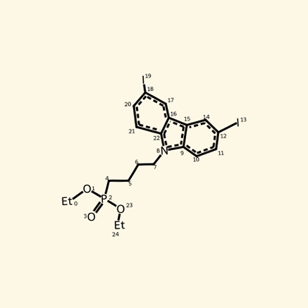 CCOP(=O)(CCCCn1c2ccc(I)cc2c2cc(I)ccc21)OCC